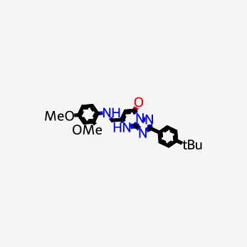 COc1ccc(NCc2cc(=O)n3nc(-c4ccc(C(C)(C)C)cc4)nc3[nH]2)c(OC)c1